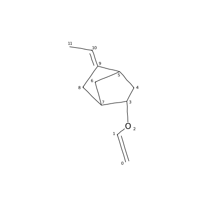 C=COC1CC2CC1C/C2=C\C